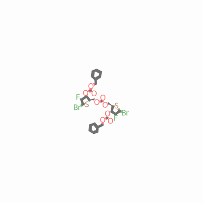 O=C(OC[C@H]1SC(Br)[C@@H](F)[C@@H]1OC(=O)OCc1ccccc1)OC[C@H]1SC(Br)[C@@H](F)[C@@H]1OC(=O)OCc1ccccc1